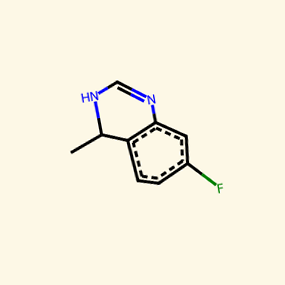 CC1NC=Nc2cc(F)ccc21